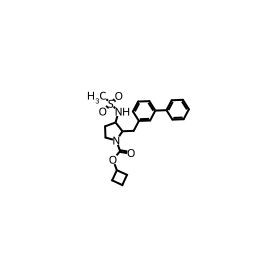 CS(=O)(=O)NC1CCN(C(=O)OC2CCC2)C1Cc1cccc(-c2ccccc2)c1